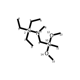 CC[Si](CC)(CC)N(C)C[Si](C)(OC)OC